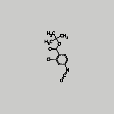 CC(C)(C)OC(=O)c1ccc(N=C=O)cc1Cl